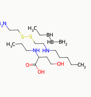 BBBCC.CCCCCNCCSSCCN.CCCNC(CCO)C(=O)O